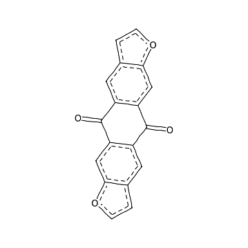 O=C1c2cc3ccoc3cc2C(=O)c2cc3ccoc3cc21